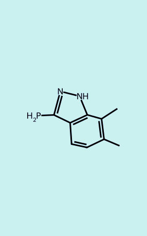 Cc1ccc2c(P)n[nH]c2c1C